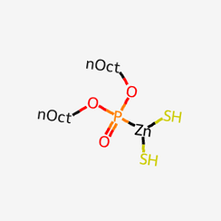 CCCCCCCCO[P](=O)(OCCCCCCCC)[Zn]([SH])[SH]